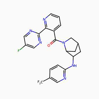 O=C(c1cccnc1-c1ncc(F)cn1)N1CC2CC(Nc3ccc(C(F)(F)F)cn3)C1C2